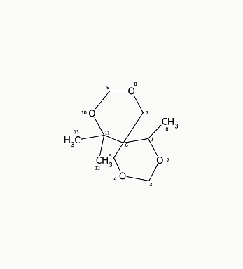 CC1OCOCC12COCOC2(C)C